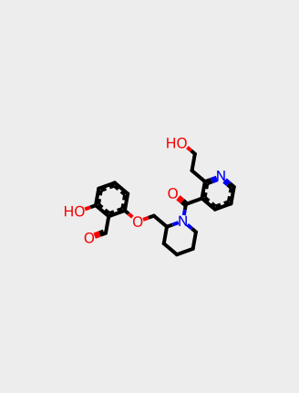 O=Cc1c(O)cccc1OCC1CCCCN1C(=O)c1cccnc1CCO